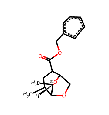 B[C@@H]1OC2COC1C(C)CC2C(=O)OCc1ccccc1